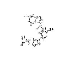 Cc1ccc(-c2noc(CNC(=O)O)n2)cc1NC(=O)c1cnc2cc(F)ccn12